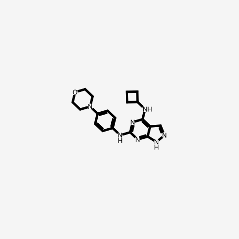 c1cc(N2CCOCC2)ccc1Nc1nc(NC2CCC2)c2cn[nH]c2n1